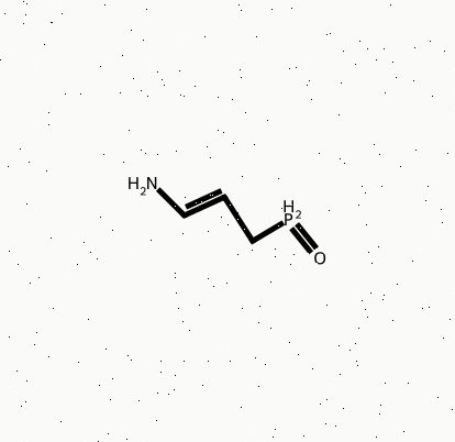 NC=CC[PH2]=O